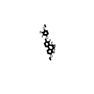 CCOc1ccc(OCc2ccc3c(c2F)C(F)(F)C(F)(F)c2c-3ccc(OCC)c2F)c(F)c1F